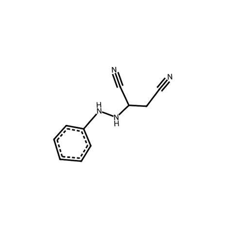 N#CCC(C#N)NNc1ccccc1